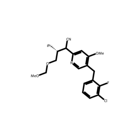 COCOC[C@H](C(C)C)C(C#N)c1cc(OC)c(Cc2cccc(Cl)c2F)cn1